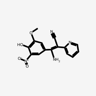 COc1cc(/C(N)=C(\C#N)c2ccccn2)cc([N+](=O)[O-])c1O